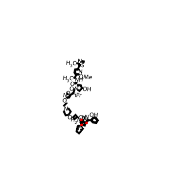 COc1nc(-c2scnc2C)ccc1[C@H](C)NC(=O)[C@@H]1C[C@@H](O)CN1C(=O)[C@@H](c1cc(OCCN2CCC(O[C@H]3C[C@H](Oc4cc(N5C6CCC5CN(c5cc(-c7ccccc7O)nnc5N)C6)ccn4)C3)CC2)no1)C(C)C